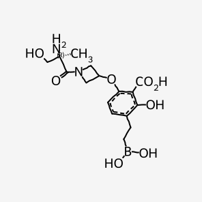 C[C@@](N)(CO)C(=O)N1CC(Oc2ccc(CCB(O)O)c(O)c2C(=O)O)C1